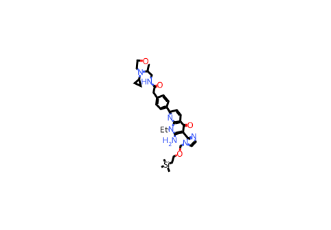 CCn1c(N)c(-c2nccn2COCC[Si](C)(C)C)c(=O)c2ccc(-c3ccc(CC(=O)NCC4COCCN4C4CC4)cc3)nc21